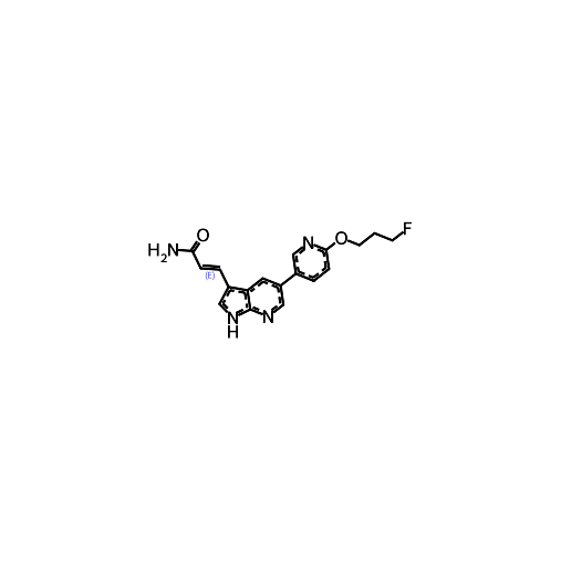 NC(=O)/C=C/c1c[nH]c2ncc(-c3ccc(OCCCF)nc3)cc12